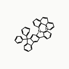 c1ccc(C2(c3ccccc3)c3ccccc3-c3cc4c5ccccc5n(-c5cccc6ccc7cccnc7c56)c4cc32)cc1